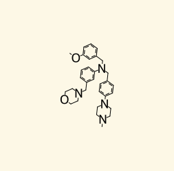 COc1cccc(CN(Cc2ccc(N3CCN(C)CC3)cc2)c2cccc(CN3CCOCC3)c2)c1